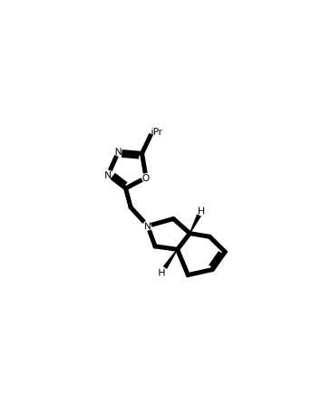 CC(C)c1nnc(CN2C[C@H]3CC=CC[C@H]3C2)o1